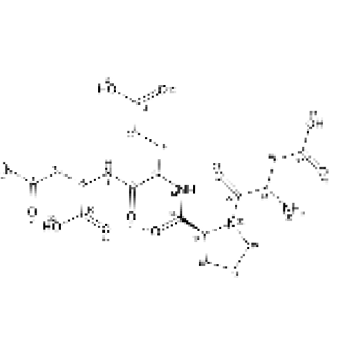 NC(=O)C[C@H](NC(=O)[C@H](CCC(=O)O)NC(=O)[C@@H]1CCCN1C(=O)[C@@H](N)CC(=O)O)C(=O)O